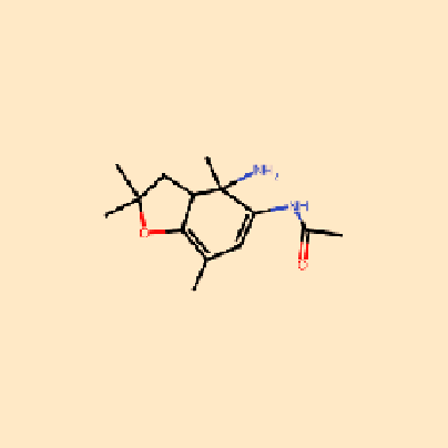 CC(=O)NC1=CC(C)=C2OC(C)(C)CC2C1(C)N